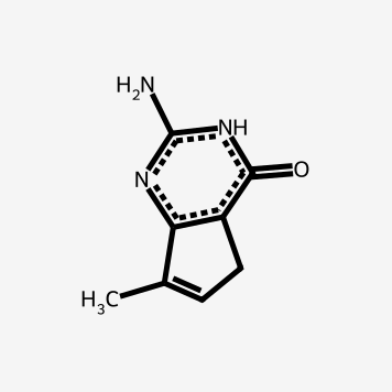 CC1=CCc2c1nc(N)[nH]c2=O